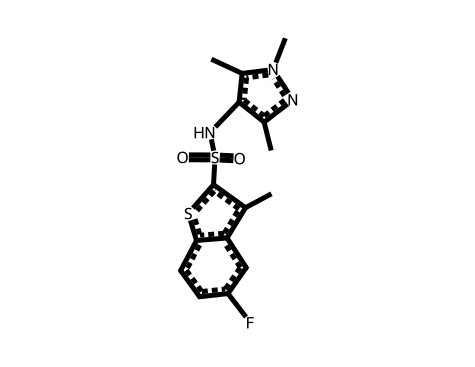 Cc1nn(C)c(C)c1NS(=O)(=O)c1sc2ccc(F)cc2c1C